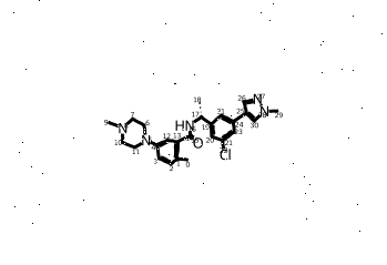 Cc1ccc(N2CCN(C)CC2)cc1C(=O)N[C@H](C)c1cc(Cl)cc(-c2cnn(C)c2)c1